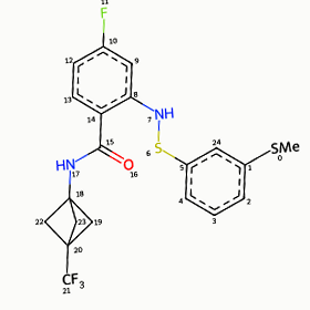 CSc1cccc(SNc2cc(F)ccc2C(=O)NC23CC(C(F)(F)F)(C2)C3)c1